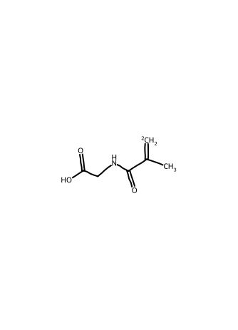 CC(=[2CH2])C(=O)NCC(=O)O